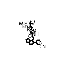 CCn1nc(S(=O)(=O)NC(=O)Cc2c(-c3ccnc(C#N)c3)ccc3c2CCC3)cc1C1(OC)COC1